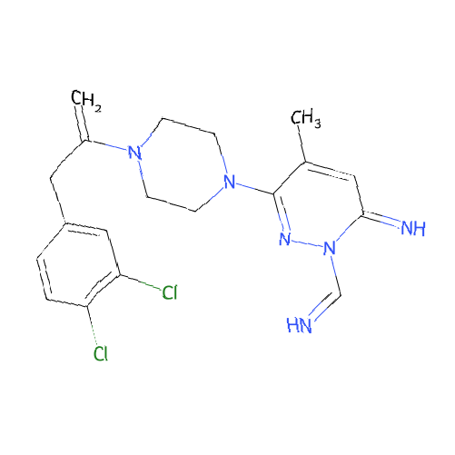 C=C(Cc1ccc(Cl)c(Cl)c1)N1CCN(c2nn(C=N)c(=N)cc2C)CC1